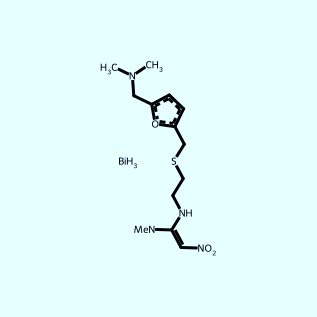 CN/C(=C/[N+](=O)[O-])NCCSCc1ccc(CN(C)C)o1.[BiH3]